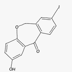 O=C1c2ccc(I)cc2COc2ccc(O)cc21